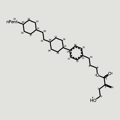 C=C(CCO)C(=O)OCCCc1ccc(C2CCC(CCC3CCC(CCCCC)CC3)CC2)cc1